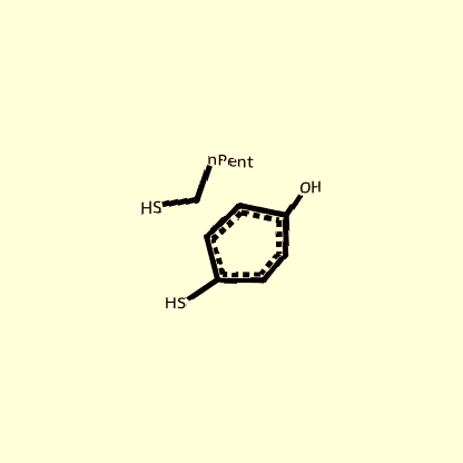 CCCCCCS.Oc1ccc(S)cc1